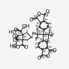 O=C(O)C1(C(=O)O)CCCC1(C(=O)O)C(=O)O.O=C1OC(=O)c2cc(C(c3ccc4c(c3)C(=O)OC4=O)(C(F)(F)F)C(F)(F)F)ccc21